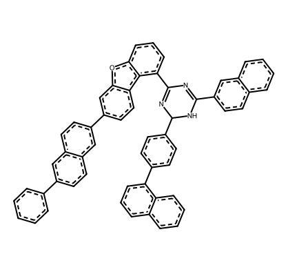 c1ccc(-c2ccc3cc(-c4ccc5c(c4)oc4cccc(C6=NC(c7ccc(-c8cccc9ccccc89)cc7)NC(c7ccc8ccccc8c7)=N6)c45)ccc3c2)cc1